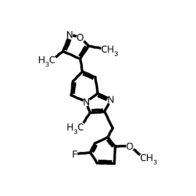 COc1ccc(F)cc1Cc1nc2cc(-c3c(C)noc3C)ccn2c1C